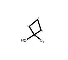 [O]C1(O)CCC1